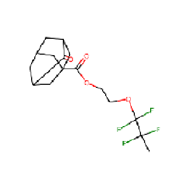 CC(F)(F)C(F)(F)OCCOC(=O)C12CC3CC(C1)C(=O)C(C3)C2